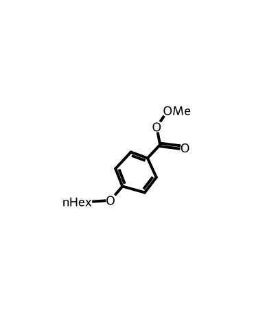 [CH2]OOC(=O)c1ccc(OCCCCCC)cc1